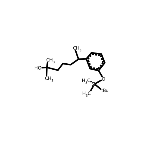 CC(CCCC(C)(C)O)c1cccc(O[Si](C)(C)C(C)(C)C)c1